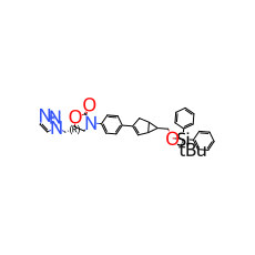 CC(C)(C)[Si](OCC1C2C=C(c3ccc(N4C[C@H](Cn5ccnn5)OC4=O)cc3)CC21)(c1ccccc1)c1ccccc1